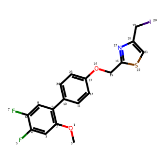 COc1cc(F)c(F)cc1-c1ccc(OCc2nc(CI)cs2)cc1